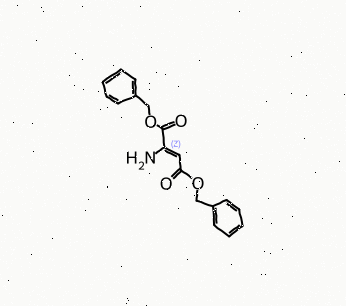 N/C(=C\C(=O)OCc1ccccc1)C(=O)OCc1ccccc1